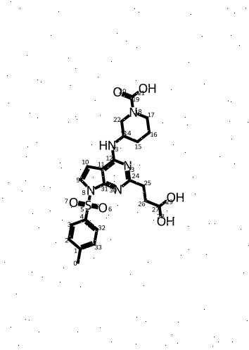 Cc1ccc(S(=O)(=O)n2ccc3c(NC4CCCN(C(=O)O)C4)nc(CCC(O)O)nc32)cc1